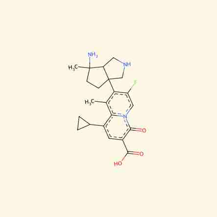 Cc1c(C23CCC(C)(N)C2CNC3)c(F)cn2c(=O)c(C(=O)O)cc(C3CC3)c12